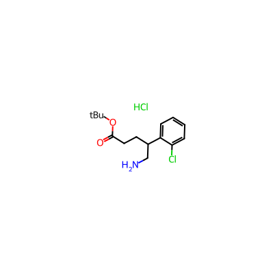 CC(C)(C)OC(=O)CCC(CN)c1ccccc1Cl.Cl